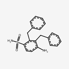 Nc1ccc(S(N)(=O)=O)c(Cc2ccccc2)c1Cc1ccccc1